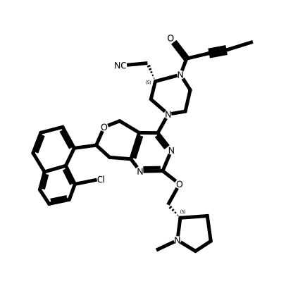 CC#CC(=O)N1CCN(c2nc(OC[C@@H]3CCCN3C)nc3c2COC(c2cccc4cccc(Cl)c24)C3)C[C@@H]1CC#N